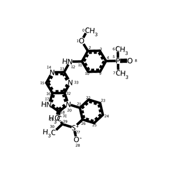 COc1cc(P(C)(C)=O)ccc1Nc1ncc2[nH]c(=O)n(-c3ccccc3[S+]([O-])C(C)C)c2n1